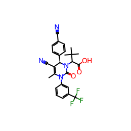 CC1=C(C#N)[C@@H](c2ccc(C#N)cc2)N(C(C(=O)O)C(C)(C)C)C(=O)N1c1cccc(C(F)(F)F)c1